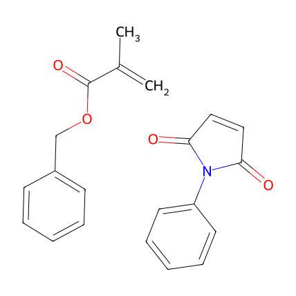 C=C(C)C(=O)OCc1ccccc1.O=C1C=CC(=O)N1c1ccccc1